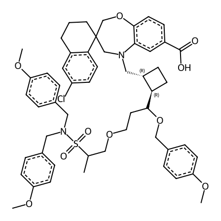 COc1ccc(COC(CCOCC(C)S(=O)(=O)N(Cc2ccc(OC)cc2)Cc2ccc(OC)cc2)[C@@H]2CC[C@H]2CN2CC3(CCCc4cc(Cl)ccc43)COc3ccc(C(=O)O)cc32)cc1